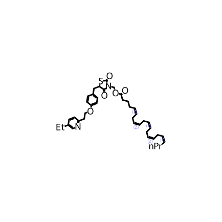 CCC/C=C\C/C=C\C/C=C\C/C=C\C/C=C\CCCC(=O)OCN1C(=O)SC(Cc2ccc(OCCc3ccc(CC)cn3)cc2)C1=O